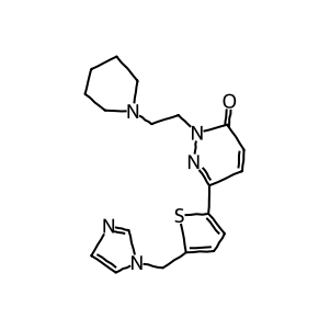 O=c1ccc(-c2ccc(Cn3ccnc3)s2)nn1CCN1CCCCC1